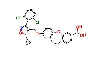 OC(O)c1ccc2c(c1)Oc1ccc(OCc3c(-c4c(Cl)cccc4Cl)noc3C3CC3)cc1CC2